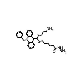 NCCCSC(SCCCCCC(=O)NN)=C1c2ccccc2N(Cc2ccccc2)c2ccccc21